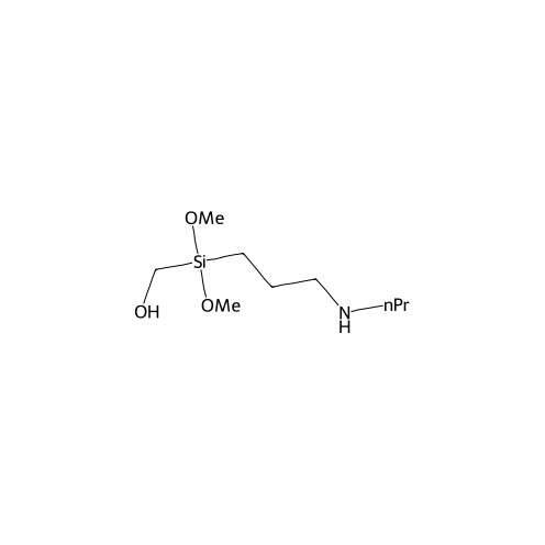 CCCNCCC[Si](CO)(OC)OC